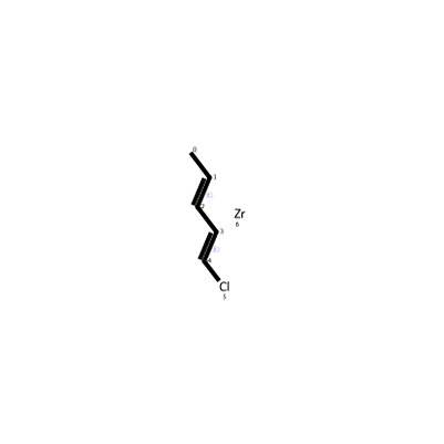 C/C=C/C=C/Cl.[Zr]